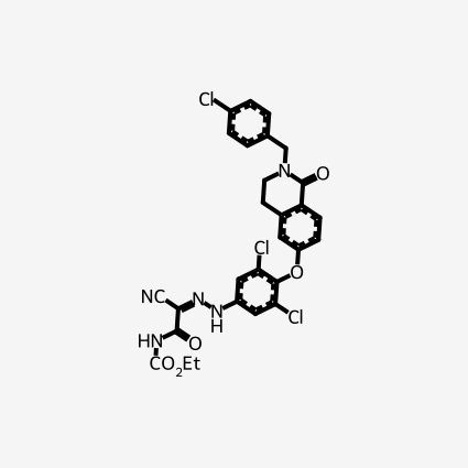 CCOC(=O)NC(=O)C(C#N)=NNc1cc(Cl)c(Oc2ccc3c(c2)CCN(Cc2ccc(Cl)cc2)C3=O)c(Cl)c1